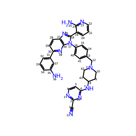 N#Cc1nccc(NC2CCN(Cc3ccc(-n4c(-c5cccnc5N)nc5ccc(-c6cccc(N)c6)nc54)cc3)CC2)n1